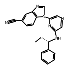 CC[C@H](Nc1cncc(-n2cnc3cc(C#N)ccc32)n1)c1ccccc1